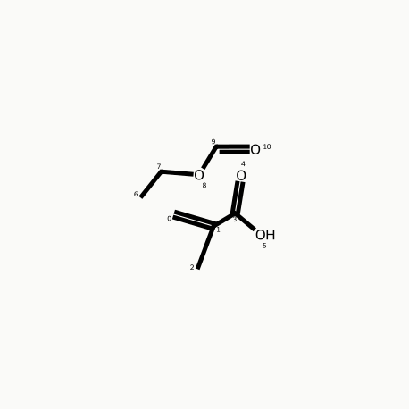 C=C(C)C(=O)O.CCOC=O